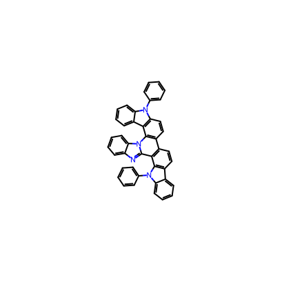 c1ccc(-n2c3ccccc3c3c2ccc2c4ccc5c6ccccc6n(-c6ccccc6)c5c4c4nc5ccccc5n4c23)cc1